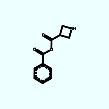 O=C(OC(=O)C1CNC1)c1ccccc1